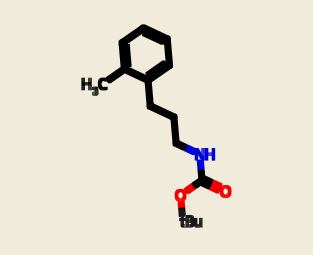 Cc1ccccc1CCCNC(=O)OC(C)(C)C